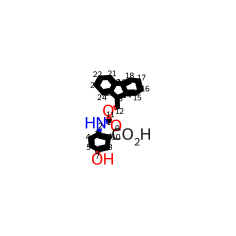 O=C(Nc1ccc(O)cc1C(=O)O)OCC1c2ccccc2-c2ccccc21